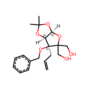 C=CC[C@]1(OCc2ccccc2)[C@H]2OC(C)(C)O[C@H]2OC1(CO)CO